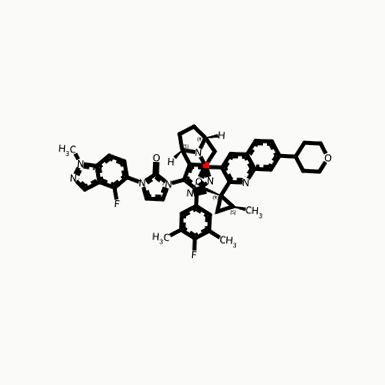 Cc1cc(-n2nc3c(c2-n2ccn(-c4ccc5c(cnn5C)c4F)c2=O)[C@@H]2CC[C@H](C3)N2C(=O)c2cc3ccc(C4CCOCC4)cc3nc2[C@@]2(C#N)C[C@@H]2C)cc(C)c1F